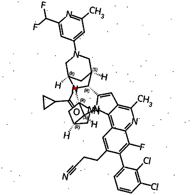 Cc1cc(N2C[C@@H]3C[C@H](C2)N(C(=O)C2CC2)[C@H]3c2cc3c(C)nc4c(F)c(-c5cccc(Cl)c5Cl)c(CCC#N)cc4c3n2[C@H]2[C@H]3CN[C@@H]2C3)cc(C(F)F)n1